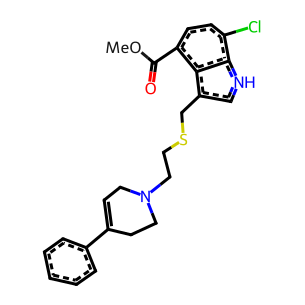 COC(=O)c1ccc(Cl)c2[nH]cc(CSCCN3CC=C(c4ccccc4)CC3)c12